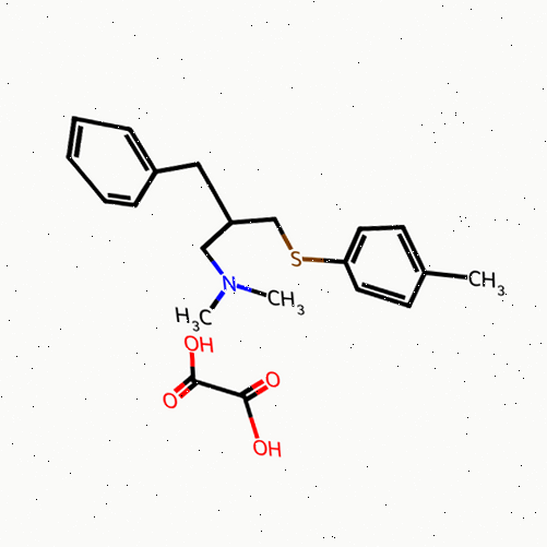 Cc1ccc(SCC(Cc2ccccc2)CN(C)C)cc1.O=C(O)C(=O)O